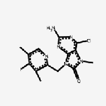 Cc1cnc(Cn2c(=O)n(C)c3c(Cl)nc(N)nc32)c(C)c1I